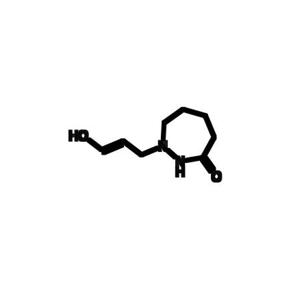 O=C1CCCCN(CC=CO)N1